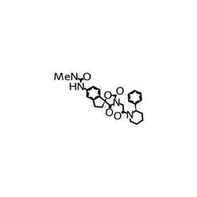 CNC(=O)Nc1ccc2c(c1)CC[C@]21OC(=O)N(CC(=O)N2CCCC[C@@H]2c2ccccc2)C1=O